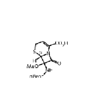 CCCCCNC1(OC)C(=O)N2C(C(=O)O)=CCS[C@H]21